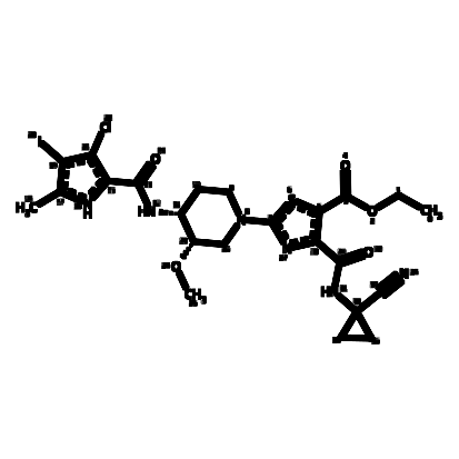 CCOC(=O)c1sc(N2CC[C@@H](NC(=O)c3[nH]c(C)c(I)c3Cl)[C@@H](OC)C2)nc1C(=O)NC1(C#N)CC1